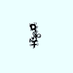 CC(C)(C)c1cn(C(=O)OCc2ccccc2)cn1